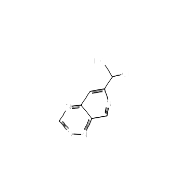 CC(C)c1cc2ncnnc2cn1